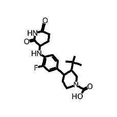 CC(C)(C)C1CN(C(=O)O)CCC1c1ccc(NC2CCC(=O)NC2=O)c(F)c1